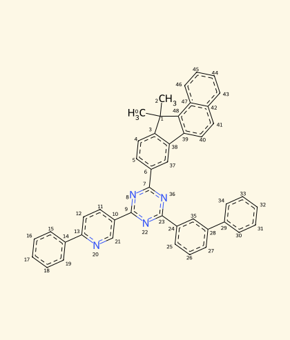 CC1(C)c2ccc(-c3nc(-c4ccc(-c5ccccc5)nc4)nc(-c4cccc(-c5ccccc5)c4)n3)cc2-c2ccc3ccccc3c21